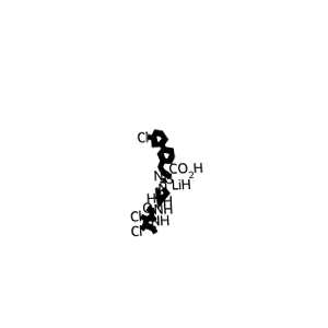 Cc1[nH]c(C(=O)N[C@H]2[C@@H]3CN(c4nc(Cc5cccc(-c6cccc(Cl)c6)c5)c(C(=O)O)s4)C[C@@H]32)c(Cl)c1Cl.[LiH]